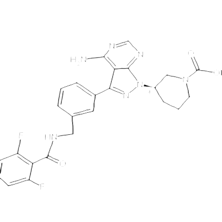 Nc1ncnc2c1c(-c1cccc(CNC(=O)c3c(F)cccc3F)c1)nn2[C@@H]1CCCN(C(=O)O)C1